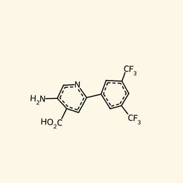 Nc1cnc(-c2cc(C(F)(F)F)cc(C(F)(F)F)c2)cc1C(=O)O